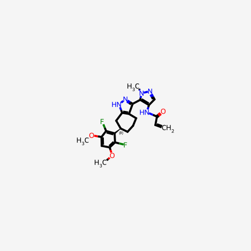 C=CC(=O)Nc1cnn(C)c1-c1n[nH]c2c1CCC[C@@H](c1c(F)c(OC)cc(OC)c1F)C2